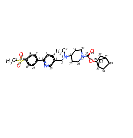 CN(Cc1ccc(-c2ccc(S(C)(=O)=O)cc2)nc1)C1CCN(C(=O)OC2CC3CCC2C3)CC1